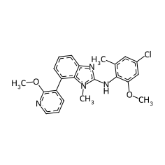 COc1cc(Cl)cc(C)c1Nc1nc2cccc(-c3cccnc3OC)c2n1C